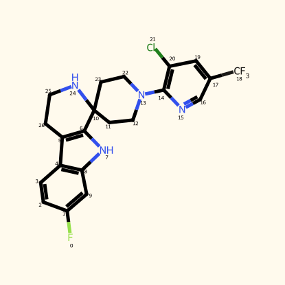 Fc1ccc2c3c([nH]c2c1)C1(CCN(c2ncc(C(F)(F)F)cc2Cl)CC1)NCC3